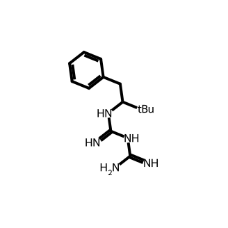 CC(C)(C)C(Cc1ccccc1)NC(=N)NC(=N)N